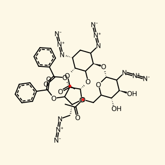 CC(=O)OCC1O[C@H](O[C@@H]2C(N=[N+]=[N-])C[C@@H](N=[N+]=[N-])[C@@H](OC(C)=O)C2O[C@@H]2O[C@H](CN=[N+]=[N-])C(OC(=O)c3ccccc3)[C@@H]2OC(=O)c2ccccc2)C(N=[N+]=[N-])[C@@H](O)[C@@H]1O